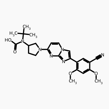 COc1cc(OC)c(-c2cn3ccc(N4CCC(N(C(=O)O)C(C)(C)C)C4)nc3n2)cc1C#N